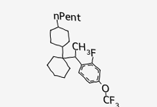 CCCCCC1CCC(C2(C(C)c3ccc(OC(F)(F)F)cc3F)CCCCC2)CC1